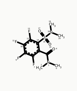 CN(C)C(=O)c1c(F)c(F)c(F)c(F)c1S(=O)(=O)N(C)C